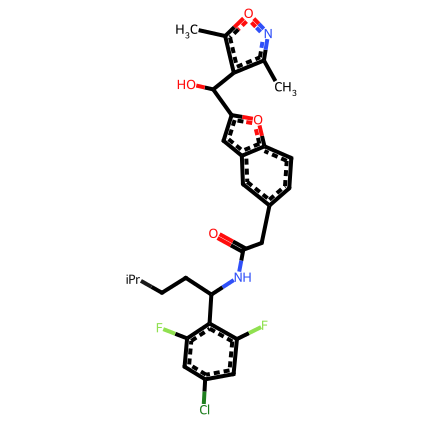 Cc1noc(C)c1C(O)c1cc2cc(CC(=O)NC(CCC(C)C)c3c(F)cc(Cl)cc3F)ccc2o1